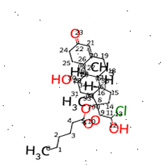 CCCCCC(=O)O[C@]1(C(=O)C(O)Cl)CC[C@H]2[C@@H]3CCC4=CC(=O)CC[C@]4(C)[C@H]3[C@@H](O)C[C@@]21C